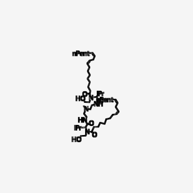 CCCCC/C=C\C/C=C\CCCCCCCC(=O)N(CCO)C(C(=O)NCCN(C)CCNC(=O)C(C(C)C)N(CCO)C(=O)CCCCCCC/C=C\C/C=C\CCCCC)C(C)C